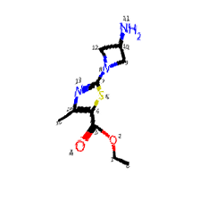 CCOC(=O)c1sc(N2CC(N)C2)nc1C